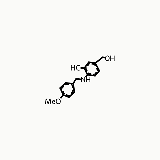 COc1ccc(CNc2ccc(CO)cc2O)cc1